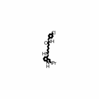 CC(C)c1cc2c(CNCCCCCC(=O)NCc3ccc(Cl)cc3)cccc2[nH]1